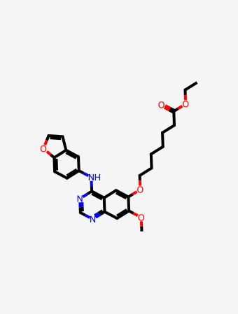 CCOC(=O)CCCCCCOc1cc2c(Nc3ccc4occc4c3)ncnc2cc1OC